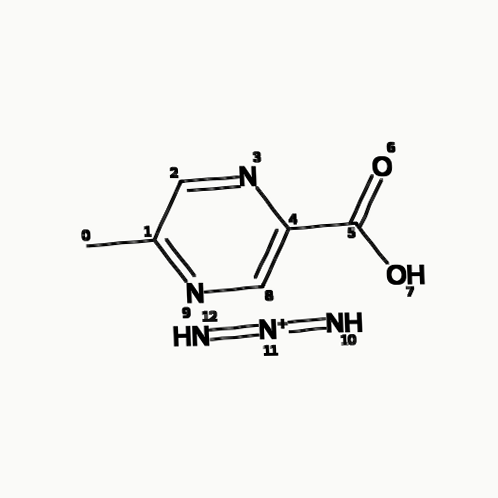 Cc1cnc(C(=O)O)cn1.N=[N+]=N